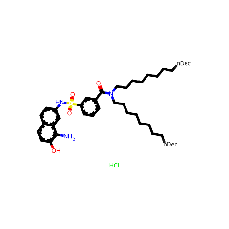 CCCCCCCCCCCCCCCCCCN(CCCCCCCCCCCCCCCCCC)C(=O)c1cccc(S(=O)(=O)Nc2ccc3ccc(O)c(N)c3c2)c1.Cl